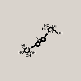 Cn1c2cc(C#C[C@H]3O[C@H](CO)[C@@H](O)[C@H](O)[C@@H]3O)ccc2c2ccc(C#C[C@H]3O[C@H](CCO)[C@@H](O)[C@H](O)[C@@H]3O)cc21